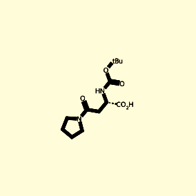 CC(C)(C)OC(=O)N[C@@H](CC(=O)N1CCCC1)C(=O)O